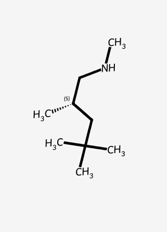 CNC[C@@H](C)CC(C)(C)C